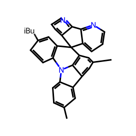 CCC(C)c1ccc2c(c1)C1(c3cccnc3-c3ncccc31)c1cc(C)cc3c4cc(C)ccc4n-2c13